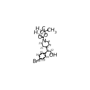 CC(C)(C)OC(=O)N1CCC(C(CO)c2ccc(Br)cc2)CC1